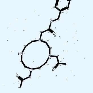 CC(=O)CN1CCNCCN(CC(=O)OCc2ccccc2)CCN(CC(C)=O)CC1